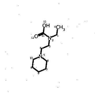 CCN(CCN1CCCCC1)C(=O)O